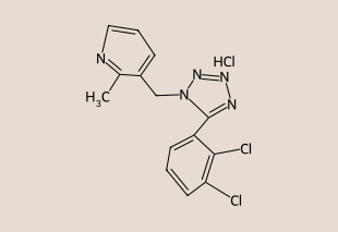 Cc1ncccc1Cn1nnnc1-c1cccc(Cl)c1Cl.Cl